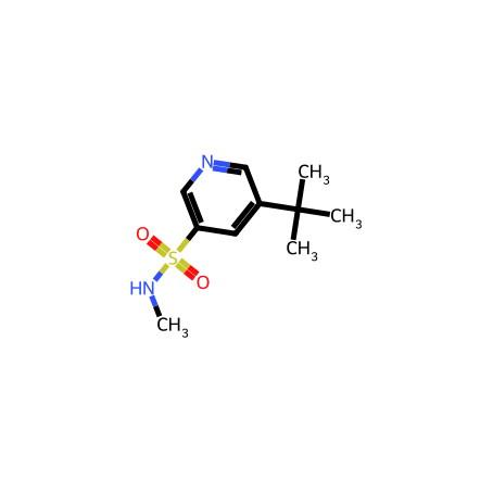 CNS(=O)(=O)c1cncc(C(C)(C)C)c1